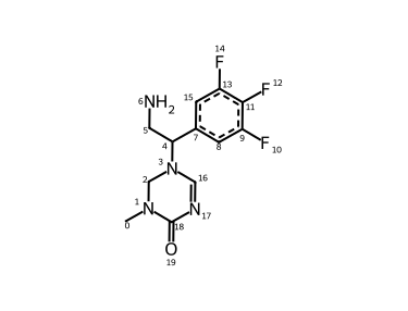 CN1CN(C(CN)c2cc(F)c(F)c(F)c2)C=NC1=O